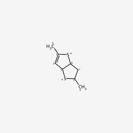 CC1=CC2SC(C)CC2S1